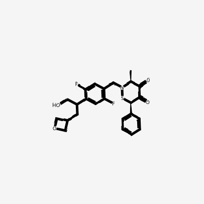 C[C@H]1C(=O)C(=O)[C@@H](c2ccccc2)SN1Cc1cc(F)c(C(CO)CC2COC2)cc1F